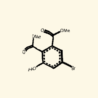 COC(=O)c1cc(Br)cc(O)c1C(=O)OC